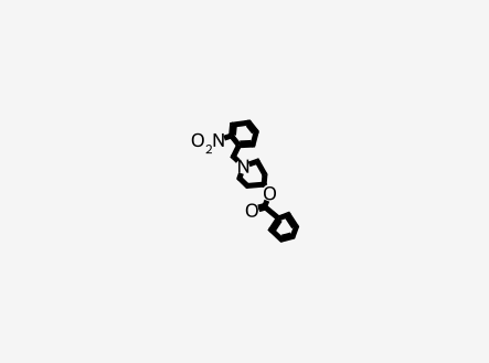 O=C(OC1CCN(Cc2ccccc2[N+](=O)[O-])CC1)c1ccccc1